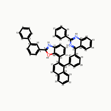 c1ccc(-c2cccc(-c3nc4cccc(-c5ccc6ccccc6c5-c5cccc(-c6nc(-c7ccccc7)nc7ccccc67)c5)c4o3)c2)cc1